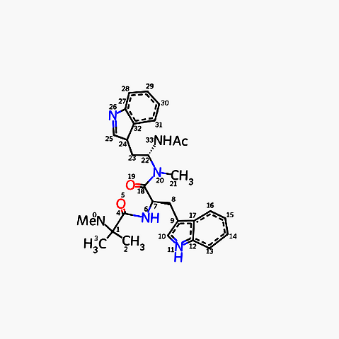 CNC(C)(C)C(=O)N[C@H](Cc1c[nH]c2ccccc12)C(=O)N(C)[C@H](CC1C=Nc2ccccc21)NC(C)=O